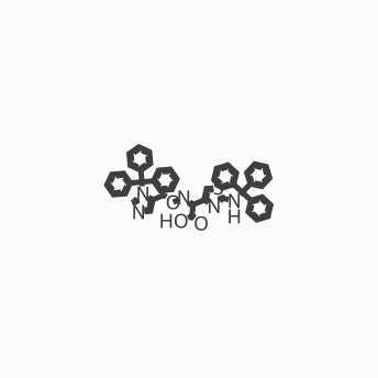 O=C(O)C(=NOCc1cncn1C(c1ccccc1)(c1ccccc1)c1ccccc1)c1csc(NC(c2ccccc2)(c2ccccc2)c2ccccc2)n1